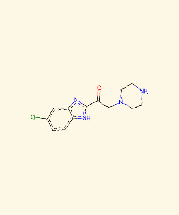 O=C(CN1CCNCC1)c1nc2cc(Cl)ccc2[nH]1